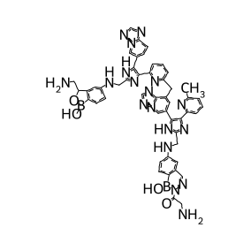 Cc1cccc(-c2nc(CNc3ccc4c(c3)C=NN(C(=O)CN)B4O)[nH]c2-c2cc(Cc3cccc(-c4nc(CNc5ccc6c(c5)C(CN)OB6O)[nH]c4-c4ccc5ncnn5c4)n3)c3ncnn3c2)n1